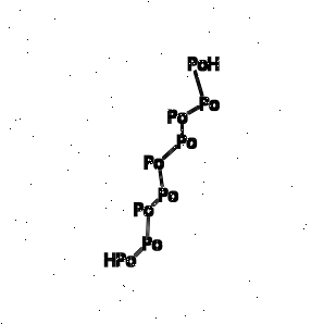 [PoH][Po][Po][Po][Po][Po][Po][Po][PoH]